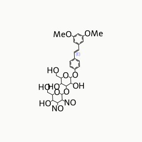 COc1cc(/C=C/c2ccc(OC3OC(CO)C(O)C(OC4OC(CO)C(O)C(N=O)C4N=O)C3O)cc2)cc(OC)c1